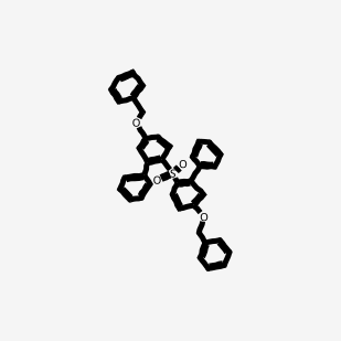 O=S(=O)(c1ccc(OCc2ccccc2)cc1-c1ccccc1)c1ccc(OCc2ccccc2)cc1-c1ccccc1